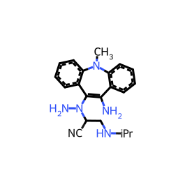 CC(C)NCC(C#N)N(N)C1=C(N)c2ccccc2N(C)c2ccccc21